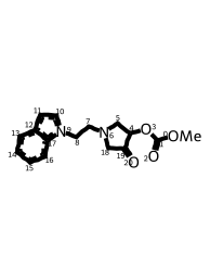 COC(=O)OC1CN(CCn2ccc3ccccc32)CC1=O